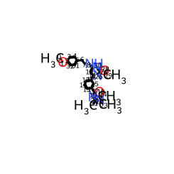 COc1ccc(CCNc2cc(-c3cccc(C(=O)/N=C(/C)N(C)C)c3)nc(OC)n2)cc1